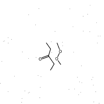 CCC(=O)CC.COOC